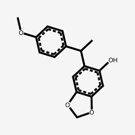 COc1ccc(C(C)c2cc3c(cc2O)OCO3)cc1